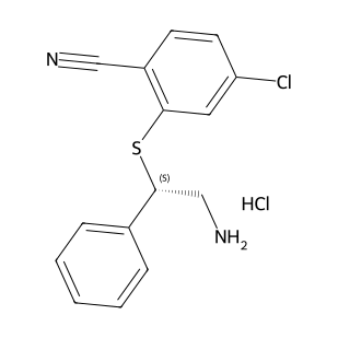 Cl.N#Cc1ccc(Cl)cc1S[C@H](CN)c1ccccc1